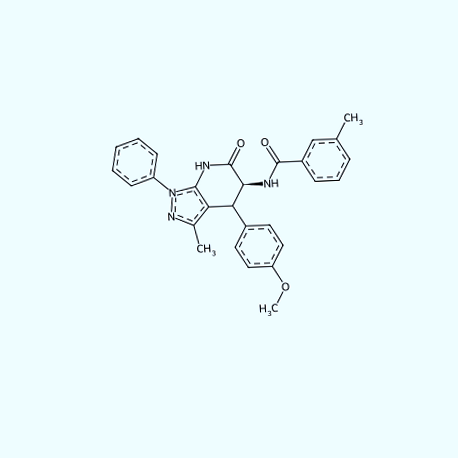 COc1ccc(C2c3c(C)nn(-c4ccccc4)c3NC(=O)[C@H]2NC(=O)c2cccc(C)c2)cc1